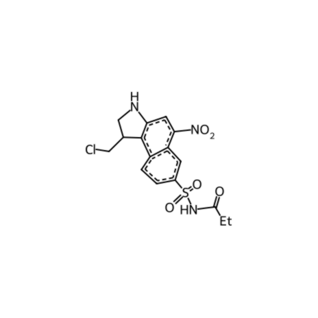 CCC(=O)NS(=O)(=O)c1ccc2c3c(cc([N+](=O)[O-])c2c1)NCC3CCl